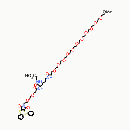 COCCOCCOCCOCCOCCOCCOCCOCCOCCOCCOCCOCCC(=O)NCCCCC(NC(=O)CCOCCOCCN1C(=O)C(Sc2ccccc2)=C(Sc2ccccc2)C1=O)C(=O)NCCC(=O)O